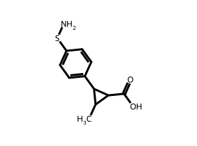 CC1C(C(=O)O)C1c1ccc(SN)cc1